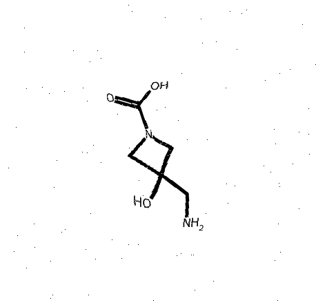 NCC1(O)CN(C(=O)O)C1